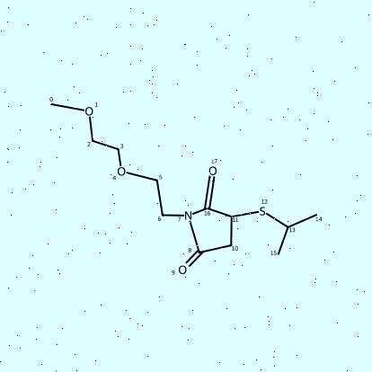 COCCOCCN1C(=O)CC(SC(C)C)C1=O